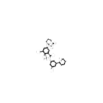 O=C(Nc1cc(Cl)cc(-c2ccccn2)c1)c1cc(N2CCCS2(=O)=O)cc(Cl)c1Cl